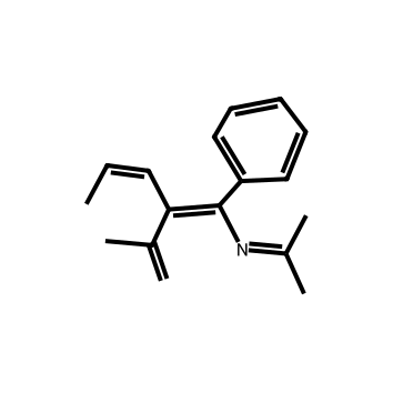 C=C(C)C(/C=C\C)=C(\N=C(C)C)c1ccccc1